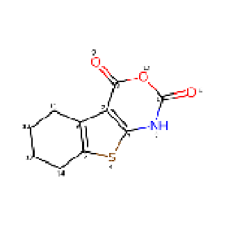 O=c1[nH]c2sc3c(c2c(=O)o1)CCCC3